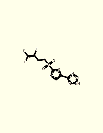 O=S(=O)(CCC(F)=C(F)F)c1ncc(-c2nn[nH]n2)s1